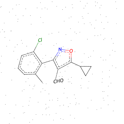 Cc1cccc(Cl)c1-c1noc(C2CC2)c1C=O